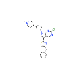 CN1CCC(C2CCC(n3cc(-c4nc(Cc5ccccc5)cs4)c4cnc(Cl)nc43)C2)CC1